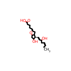 CC/C=C\CC(O)/C=C/[C@H]1C(O)CC2O/C(=C\CCCC(=O)O)CC21